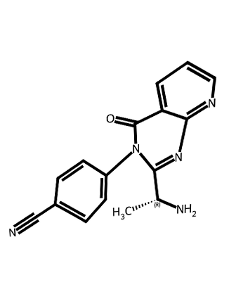 C[C@@H](N)c1nc2ncccc2c(=O)n1-c1ccc(C#N)cc1